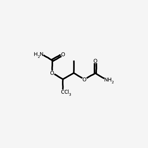 CC(OC(N)=O)C(OC(N)=O)C(Cl)(Cl)Cl